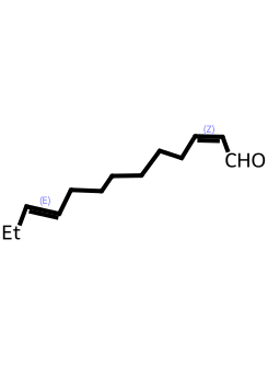 CC/C=C/CCCCCC/C=C\C=O